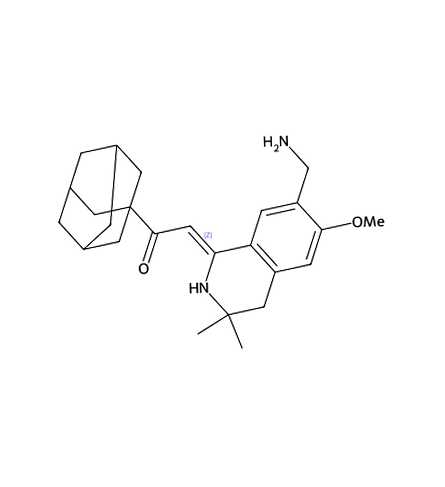 COc1cc2c(cc1CN)/C(=C/C(=O)C13CC4CC(CC(C4)C1)C3)NC(C)(C)C2